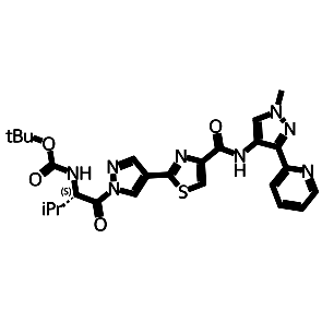 CC(C)[C@H](NC(=O)OC(C)(C)C)C(=O)n1cc(-c2nc(C(=O)Nc3cn(C)nc3-c3ccccn3)cs2)cn1